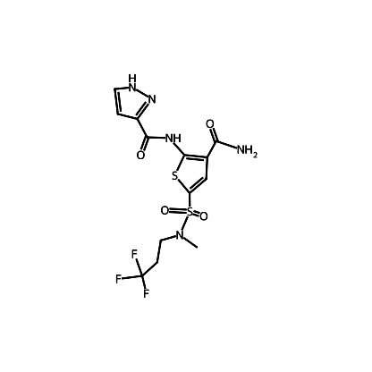 CN(CCC(F)(F)F)S(=O)(=O)c1cc(C(N)=O)c(NC(=O)c2cc[nH]n2)s1